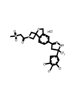 CS(=O)(=O)CC(=O)N1CC2(C1)OCc1cc(C3=NNC(c4cc(Cl)c(Cl)c(Cl)c4)(C(F)(F)F)C3)ccc12.Cl